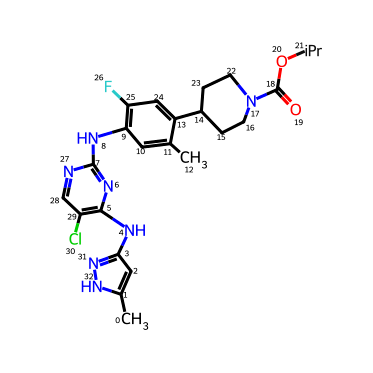 Cc1cc(Nc2nc(Nc3cc(C)c(C4CCN(C(=O)OC(C)C)CC4)cc3F)ncc2Cl)n[nH]1